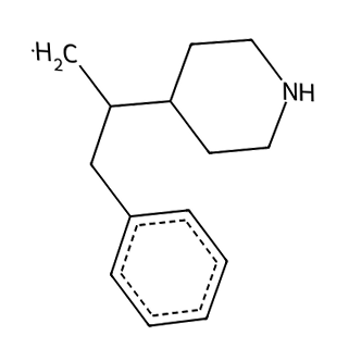 [CH2]C(Cc1ccccc1)C1CCNCC1